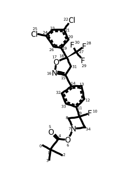 CC(C)(C)C(=O)ON1CC(F)(c2ccc(C3=NO[C@@](c4cc(Cl)cc(Cl)c4)(C(F)(F)F)C3)cc2)C1